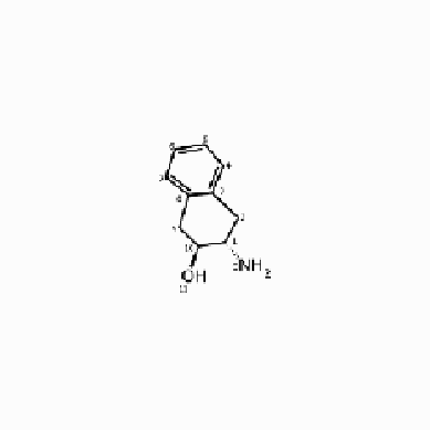 N[C@H]1Cc2ccccc2C[C@@H]1O